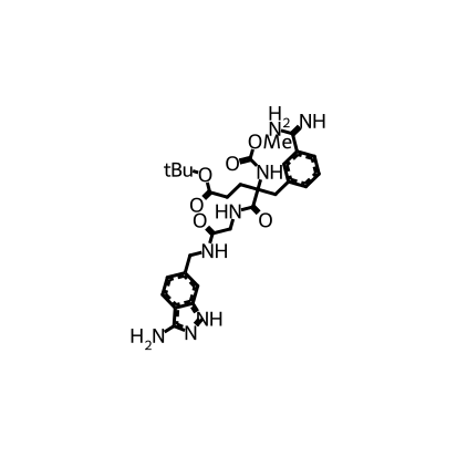 COC(=O)NC(CCC(=O)OC(C)(C)C)(Cc1cccc(C(=N)N)c1)C(=O)NCC(=O)NCc1ccc2c(N)n[nH]c2c1